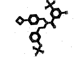 O=C(c1cc(Cl)cc(C(F)(F)F)c1)N(CCc1cccc(OC(F)(F)F)c1)Cc1ccc(C2CCC2)cc1